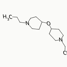 CCCN1CCC(OC2CCN(CC)CC2)CC1